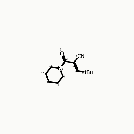 CC(C)(C)C=C(C#N)C(=O)N1CCCCC1